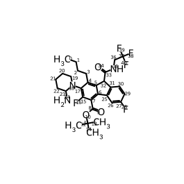 CCCCc1c2c(c(C(=O)OC(C)(C)C)c(F)c1N1CCCCC1N)-c1cc(F)ccc1C2C(=O)NCC(F)(F)F